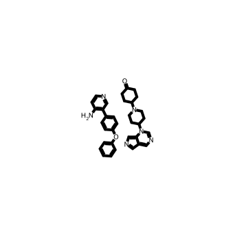 Nc1ccncc1-c1ccc(Oc2ccccc2)cc1.O=C1CCC(N2CCC(n3cncc4cncc3-4)CC2)CC1